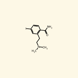 CN(C)CCc1cc(I)ccc1C(N)=O